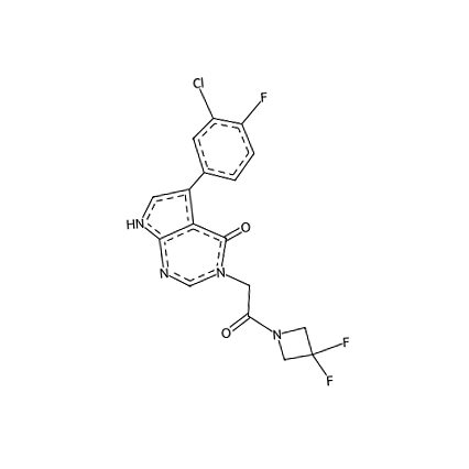 O=C(Cn1cnc2[nH]cc(-c3ccc(F)c(Cl)c3)c2c1=O)N1CC(F)(F)C1